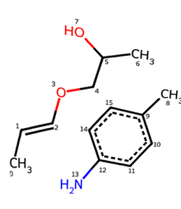 CC=COCC(C)O.Cc1ccc(N)cc1